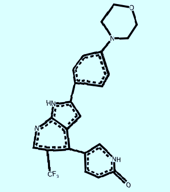 O=c1ccc(-c2c(C(F)(F)F)cnc3[nH]c(-c4ccc(N5CCOCC5)cc4)cc23)c[nH]1